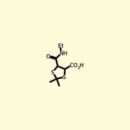 CCNC(=O)C1SC(C)(C)SC1C(=O)O